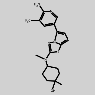 CN(c1nn2c(-c3cnc(N)c(C(F)(F)F)c3)cnc2s1)C1CCC(C)(O)CC1